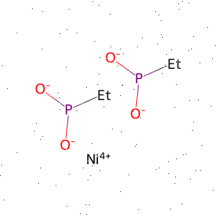 CCP([O-])[O-].CCP([O-])[O-].[Ni+4]